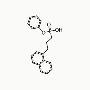 O=P(O)(CCCc1cccc2ccccc12)Oc1ccccc1